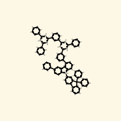 c1ccc(-c2ccc3c(c2)c2c(-c4cccc(-c5nc(-c6ccccc6)nc(-c6cccc(-c7nc(-c8ccccc8)nc(-c8ccccc8)n7)c6)n5)c4)cccc2n3-c2ccc3c(c2)C(c2ccccc2)(c2ccccc2)c2ccccc2-3)cc1